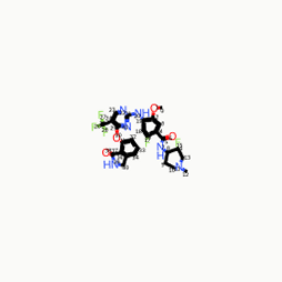 COc1cc(C(=O)NC2CCN(C)C[C@H]2F)c(F)cc1Nc1ncc(C(F)(F)F)c(Oc2cccc3c2C(=O)NC3)n1